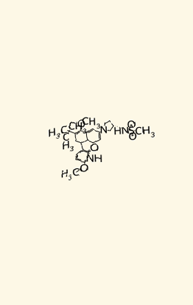 COC1=C(C(C)(C)C)CC(c2ccc(OC)[nH]c2=O)C2CC=C(N3CC[C@H](CNS(C)(=O)=O)C3)C=C12